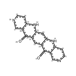 O=c1c2cnccc2[nH]c2cc3[nH]c4ccncc4c(=O)c3cc12